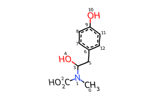 CN(C(=O)O)C(O)Cc1ccc(O)cc1